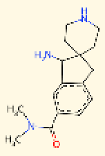 CN(C)C(=O)c1ccc2c(c1)C(N)C1(CCNCC1)C2